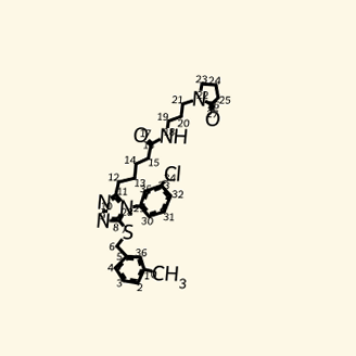 Cc1cccc(CSc2nnc(CCCCC(=O)NCCCN3CCCC3=O)n2-c2cccc(Cl)c2)c1